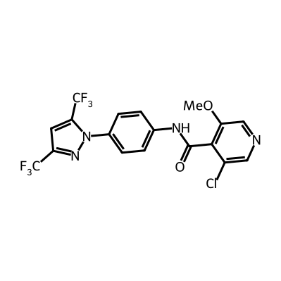 COc1cncc(Cl)c1C(=O)Nc1ccc(-n2nc(C(F)(F)F)cc2C(F)(F)F)cc1